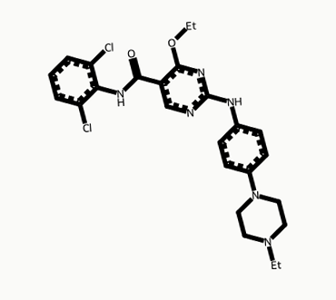 CCOc1nc(Nc2ccc(N3CCN(CC)CC3)cc2)ncc1C(=O)Nc1c(Cl)cccc1Cl